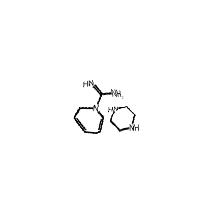 C1CNCCN1.N=C(N)N1C=CC=CC1